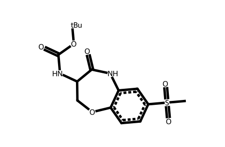 CC(C)(C)OC(=O)NC1COc2ccc(S(C)(=O)=O)cc2NC1=O